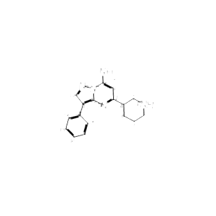 Nc1cc(C2CCCNC2)nc2c(-c3ccccc3)cnn12